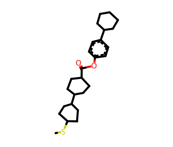 CSC1CCC(C2CCC(C(=O)Oc3ccc(C4CCCCC4)cc3)CC2)CC1